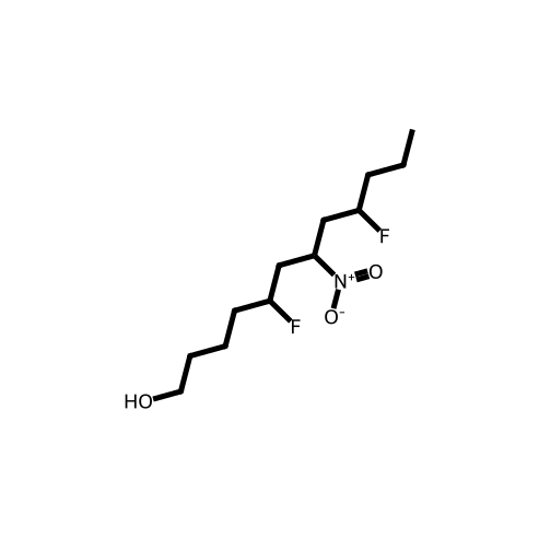 CCCC(F)CC(CC(F)CCCCO)[N+](=O)[O-]